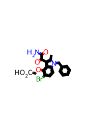 Cc1c(C(=O)C(N)=O)c2c(OCC(=O)O)c(Br)ccc2n1Cc1ccccc1